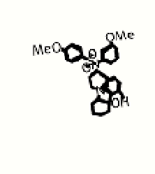 COc1ccc(S(=O)(=O)N(c2cccc(OC)c2)C2CCN(C3CCCCC3(O)c3ccccc3C)CC2)cc1